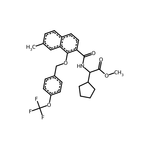 COC(=O)C(NC(=O)c1ccc2ccc(C)cc2c1OCc1ccc(OC(F)(F)F)cc1)C1CCCC1